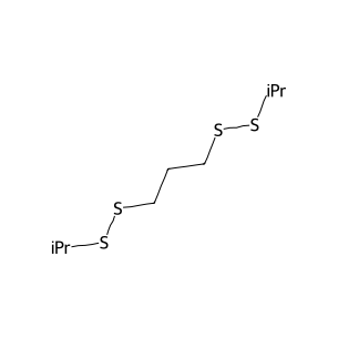 CC(C)SSCCCSSC(C)C